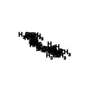 COC(=O)N[C@H](C(=O)N1CCCC1c1ncc(-c2ccc(-c3csc4c(NC(=O)[C@@H]5CCCN5C(=O)[C@@H](NC(=O)OC)C(C)C)csc34)cc2)[nH]1)C(C)C